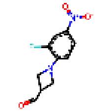 O=CC1CN(c2ccc([N+](=O)[O-])cc2F)C1